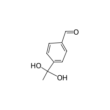 CC(O)(O)c1ccc(C=O)cc1